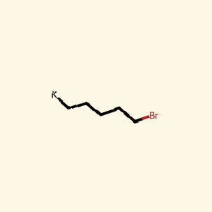 [K][CH2]CCCCBr